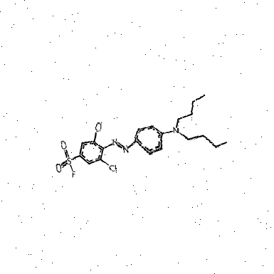 CCCCN(CCCC)c1ccc(/N=N/c2c(Cl)cc(S(=O)(=O)F)cc2Cl)cc1